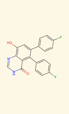 O=c1[nH]cnc2c(O)cc(-c3ccc(F)cc3)c(-c3ccc(F)cc3)c12